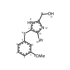 COc1cccc(Sc2[nH]c(CO)nc2C(C)C)c1